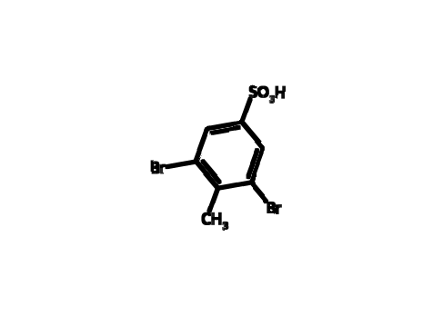 Cc1c(Br)cc(S(=O)(=O)O)cc1Br